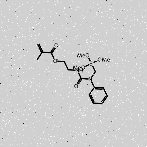 C=C(C)C(=O)OCCNC(=O)N(C[Si](OC)(OC)OC)c1ccccc1